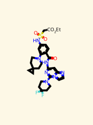 CCOC(=O)CS(=O)(=O)Nc1ccc(C(=O)Nc2cc3nccn3c(N3CCC(F)(F)CC3)n2)c(N2CCC3(CC2)CC3)c1